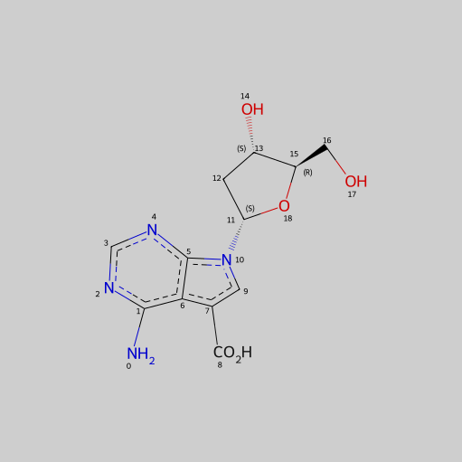 Nc1ncnc2c1c(C(=O)O)cn2[C@@H]1C[C@H](O)[C@@H](CO)O1